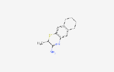 CC1Sc2cc3c(cc2N=C1N)CCCC3